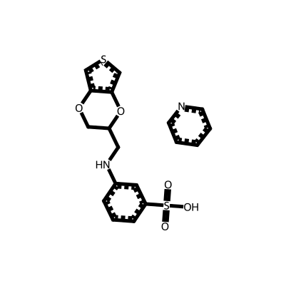 O=S(=O)(O)c1cccc(NCC2COc3cscc3O2)c1.c1ccncc1